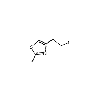 Cc1nc(CCI)cs1